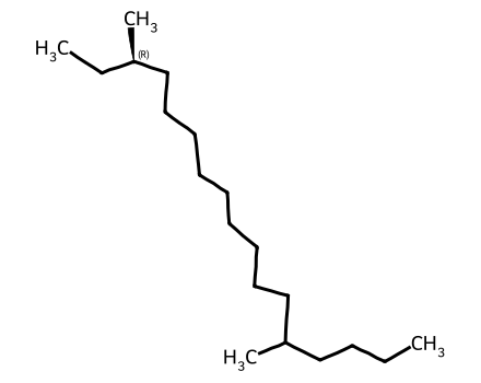 CCCCC(C)CCCCCCCCC[C@H](C)CC